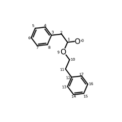 [O]C(Cc1ccccc1)OCCc1ccccc1